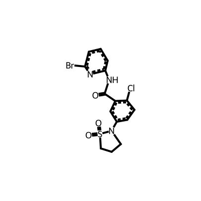 O=C(Nc1cccc(Br)n1)c1cc(N2CCCS2(=O)=O)ccc1Cl